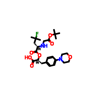 CC(C)(F)C[C@H](NCC(=O)OC(C)(C)C)C(=O)O[C@H](Cc1ccc(N2CCOCC2)cc1)C(=O)O